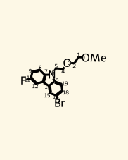 COCCOCCn1c2ccc(F)cc2c2cc(Br)ccc21